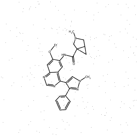 CCOc1cc2ncnc(-c3cn(C)nc3-c3ccccc3)c2cc1NC(=O)C12CC1CN(C)C2